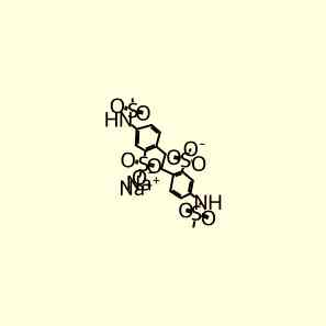 CS(=O)(=O)Nc1ccc(CCc2ccc(NS(C)(=O)=O)cc2S(=O)(=O)[O-])c(S(=O)(=O)[O-])c1.[Na+].[Na+]